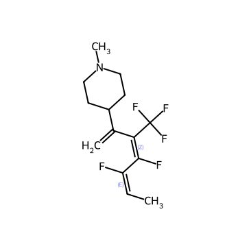 C=C(/C(=C(F)\C(F)=C/C)C(F)(F)F)C1CCN(C)CC1